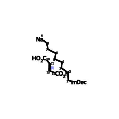 CCCCCCCCCCCCCCCCC[CH2][Na].O=C(O)/C=C/C(=O)O